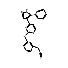 N#CCc1cccc(Nc2nccc(-c3cn[nH]c3-c3ccccc3)n2)c1